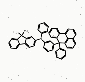 CC1(C)c2ccccc2-c2ccc(N(c3ccccc3)c3cccc(C4(c5ccccc5)c5ccccc5-c5cccc6cccc4c56)c3)cc21